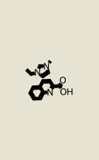 CCN1C=CN(C)C1.O=C(O)c1ccc2ccccc2n1